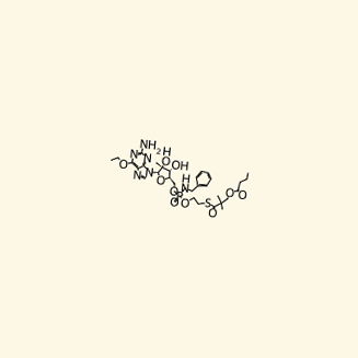 CCCC(=O)OCC(C)(C)C(=O)SCCOP(=O)(NCc1ccccc1)OC[C@H]1O[C@@H](n2cnc3c(OCC)nc(N)nc32)[C@](C)(O)[C@@H]1O